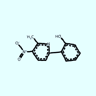 Cc1nc(-c2ccccc2O)ccc1[N+](=O)[O-]